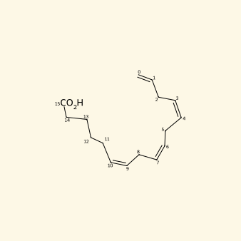 C=CC/C=C\C/C=C\C/C=C\CCCCC(=O)O